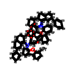 CC(C)c1cccc2c1oc1c(N(c3c(-c4ccccc4)ccc4ccc(-c5ccccc5)cc34)c3ccc4ccc5c(N(c6c(-c7ccccc7)ccc7ccc(-c8ccccc8)cc67)c6cccc7c6oc6c(C(C)C)cccc67)ccc6ccc3c4c65)cccc12